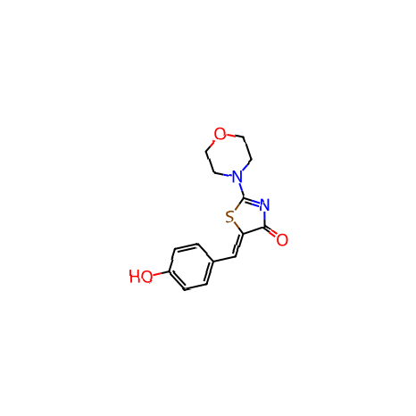 O=C1N=C(N2CCOCC2)SC1=Cc1ccc(O)cc1